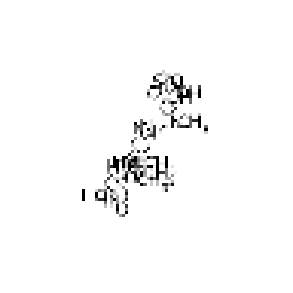 CN(CCCn1nnc2cc(CNC[C@H](O[Si](C)(C)C(C)(C)C)c3ccc(O)c4[nH]c(=O)ccc34)ccc21)C1CCC(C2([C@](O)(C(=O)O)c3cccs3)CCCC2)CC1